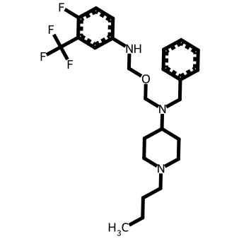 CCCCN1CCC(N(COCNc2ccc(F)c(C(F)(F)F)c2)Cc2ccccc2)CC1